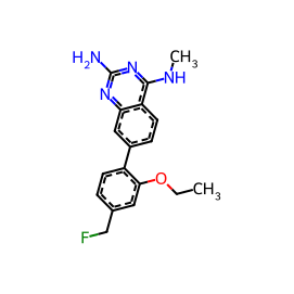 CCOc1cc(CF)ccc1-c1ccc2c(NC)nc(N)nc2c1